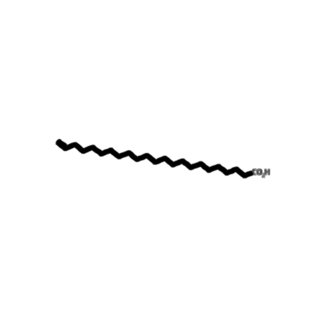 C=CCCCCCCCCCCCCCCCCCCCCC(=O)O